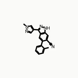 Cc1ccccc1-c1cc2c(-c3cnn(C)c3)n[nH]c2cc1C#N